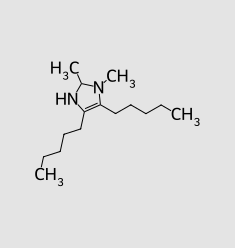 CCCCCC1=C(CCCCC)N(C)C(C)N1